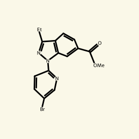 CCc1nn(-c2ccc(Br)cn2)c2cc(C(=O)OC)ccc12